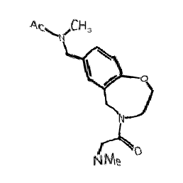 CNCC(=O)N1CCOc2ccc(CN(C)C(C)=O)cc2C1